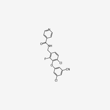 N#Cc1cc(Cl)cc(Oc2c(Cl)ccc(CNC(=O)c3ccncc3)c2F)c1